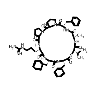 CC(C)[C@@H]1NC(=O)[C@H](Cc2ccccc2)NC(=O)[C@H](Cc2ccccc2)NC(=O)[C@H](CCCNC(=N)N)NC(=O)[C@@H]2CCCN2C(=O)[C@H]2CCCN2C(=O)[C@H](Cc2ccccc2)NC(=O)[C@H](C)NC1=O